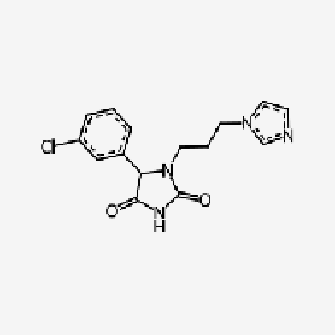 O=C1NC(=O)N(CCCn2ccnc2)C1c1cccc(Cl)c1